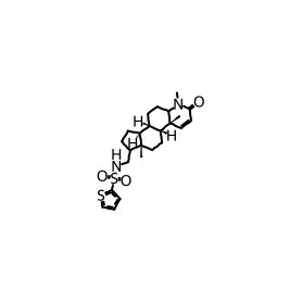 CN1C(=O)C=C[C@@]2(C)C1CC[C@@H]1[C@H]2CC[C@]2(C)C(CNS(=O)(=O)c3cccs3)CC[C@@H]12